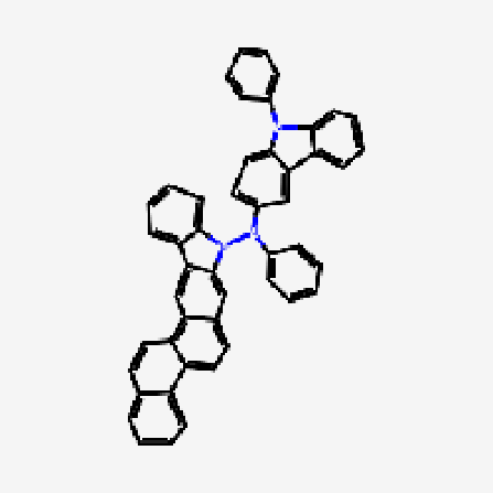 c1ccc(N(c2ccc3c(c2)c2ccccc2n3-c2ccccc2)n2c3ccccc3c3cc4c(ccc5c6ccccc6ccc45)cc32)cc1